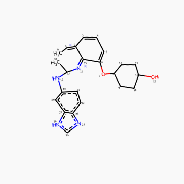 C/C=C1/C=CC=C(OC2CCC(O)CC2)/C1=N/C(C)Nc1ccc2nc[nH]c2c1